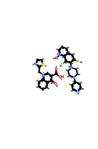 O=C(O)c1cn(Cc2nccs2)c2ccccc2c1=O.[O-][n+]1cccc2cc(F)c(N3CCN(c4ccncc4)CC3)c(F)c21